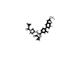 Cc1cc2cc(-c3ccc(C4=NC5(CC5)C(=O)N4C[C@@H]4CCN(C(=O)C5CC5)C4)cc3F)ccc2s1